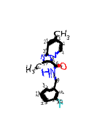 Cc1ccn2c(C(=O)NCc3cccc(F)c3)c(C)nc2c1